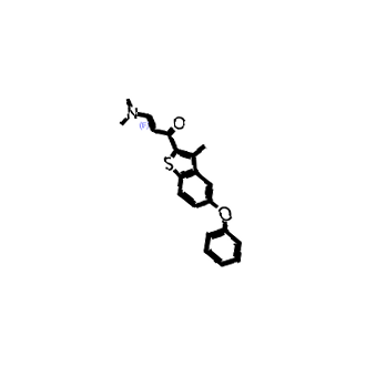 Cc1c(C(=O)/C=C/N(C)C)sc2ccc(Oc3ccccc3)cc12